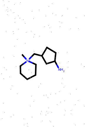 C[N+]1(CC2CCC(N)C2)CCCCC1